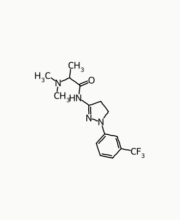 CC(C(=O)NC1=NN(c2cccc(C(F)(F)F)c2)CC1)N(C)C